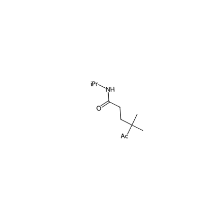 CC(=O)C(C)(C)CCC(=O)NC(C)C